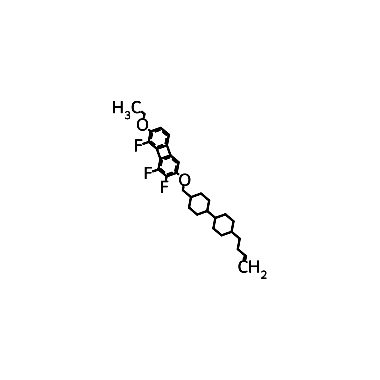 C=CCCC1CCC(C2CCC(COc3cc4c(c(F)c3F)-c3c-4ccc(OCC)c3F)CC2)CC1